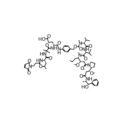 CC[C@H](C)[C@@H]([C@@H](CC(=O)N1CCC[C@H]1[C@H](OC)[C@@H](C)C(=O)N[C@H](C)[C@@H](O)c1ccccc1)OC)N(C)C(=O)[C@@H](NC(=O)[C@H](C(C)C)N(C)C(=O)OCc1ccc(NC(=O)[C@H](CCC(=O)O)NC(=O)C(C)(C)NC(=O)[C@@H](CC(C)C)NC(=O)CCN2C(=O)C=CC2=O)cc1)C(C)C